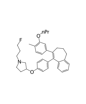 CCCOc1cc(C2=C(c3ccc(OC4CCN(CCCF)C4)cc3)c3ccccc3CCC2)ccc1C